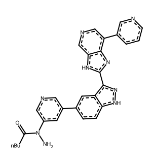 CCCCC(=O)N(N)c1cncc(-c2ccc3[nH]nc(-c4nc5c(-c6cccnc6)cncc5[nH]4)c3c2)c1